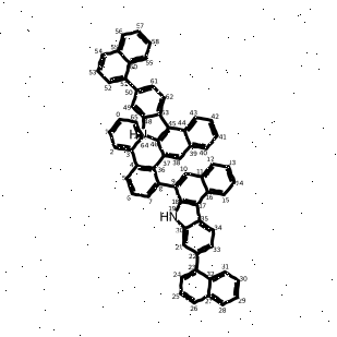 c1ccc(-c2cccc(-c3cc4ccccc4c4c3[nH]c3cc(-c5cccc6ccccc56)ccc34)c2-c2cc3ccccc3c3c2[nH]c2cc(-c4cccc5ccccc45)ccc23)cc1